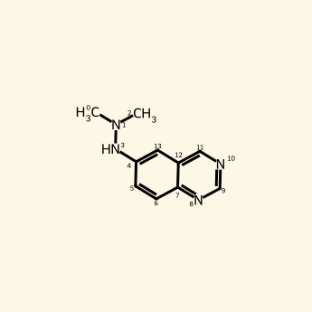 CN(C)Nc1ccc2ncncc2c1